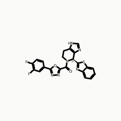 O=C(c1nnc(-c2ccc(F)c(F)c2)o1)N1CCc2[nH]cnc2[C@H]1c1nc2ccccc2s1